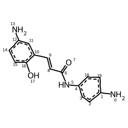 Nc1ccc(NC(=O)/C=C/c2cc(N)ccc2O)cc1